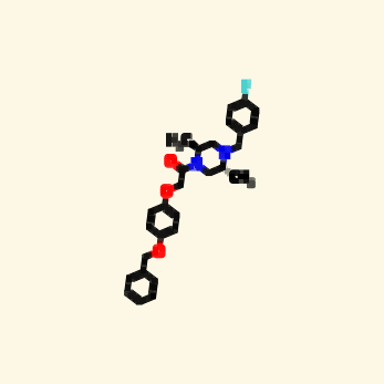 C[C@@H]1CN(C(=O)COc2ccc(OCc3ccccc3)cc2)[C@@H](C)CN1Cc1ccc(F)cc1